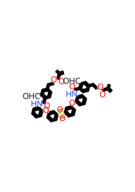 C=C(C)C(=O)OCCc1ccc(C(=O)Nc2ccccc2Oc2cccc(S(=O)(=O)c3cccc(Oc4ccccc4NC(=O)c4ccc(CCOC(=O)C(=C)C)cc4C=O)c3)c2)c(C=O)c1